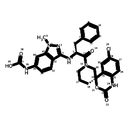 Cn1nc(N[C@@H](Cc2ccccc2)C(=O)N2CCC[C@@]3(C2)OC(=O)Nc2ccc(Cl)cc23)c2ccc(NC(=O)O)cc21